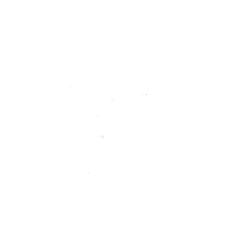 COc1cc(-c2cccc(F)c2)cc2c(NCC(F)(F)C(N)=O)nc(-c3cccnc3)nc12